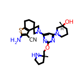 C[C@@]1(O)CCCN(c2cc(N3CC4(CCCc5sc(N)c(C#N)c54)C3)nc(OC[C@]3(C)CCCN3)n2)C1